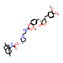 COc1ccc(C[C@H]2COC(=O)[C@@H]2Cc2ccc(OC(=O)NCCN3CC[C@H](COC(=O)NC45CC6CC(C)(CC(C)(C6)C4)C5)C3)c(OC)c2)cc1OC